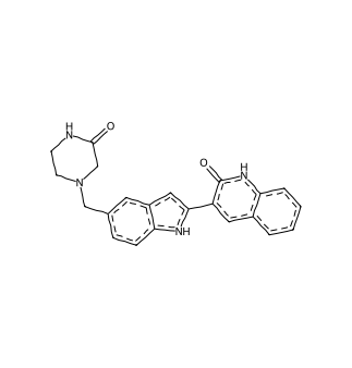 O=C1CN(Cc2ccc3[nH]c(-c4cc5ccccc5[nH]c4=O)cc3c2)CCN1